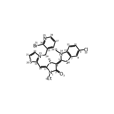 CCn1c(=O)/c(=C2\Sc3cc(Cl)ccc3N2C)s/c1=C\c1scc[n+]1Cc1cccnc1Br